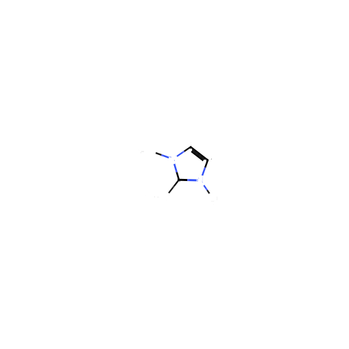 CCCCCC1N(CC)C=CN1CCCCC